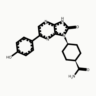 NC(=O)[C@H]1CC[C@@H](n2c(=O)[nH]c3ncc(-c4ccc(O)cc4)nc32)CC1